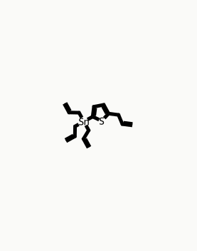 C=CCc1cc[c]([Sn]([CH2]C=C)([CH2]C=C)[CH2]C=C)s1